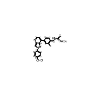 Cc1cc(-c2ccnc3cn(-c4ccc(C=O)cc4)nc23)ccc1CNC(=O)OC(C)(C)C